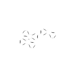 c1ccc2c(c1)-c1ccccc1C21c2ccccc2-c2cc(-c3ccc4sc5ccccc5c4c3)ccc21